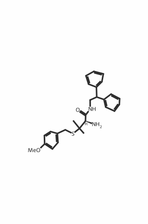 COc1ccc(CSC(C)(C)[C@H](N)C(=O)NCC(c2ccccc2)c2ccccc2)cc1